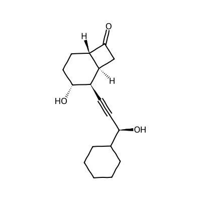 O=C1C[C@H]2[C@@H](C#C[C@@H](O)C3CCCCC3)[C@H](O)CC[C@H]12